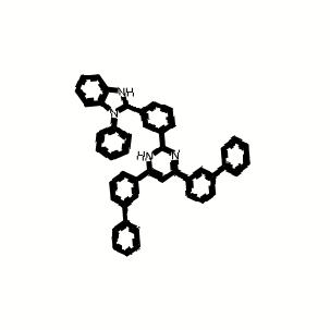 C1=C(c2cccc(-c3ccccc3)c2)NC(c2cccc(C3Nc4ccccc4N3c3ccccc3)c2)N=C1c1cccc(-c2ccccc2)c1